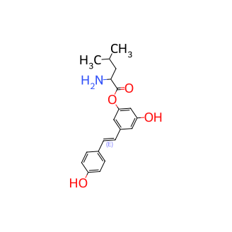 CC(C)CC(N)C(=O)Oc1cc(O)cc(/C=C/c2ccc(O)cc2)c1